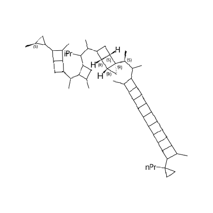 CCCC1(C2C(C)C3C4C5C6C7C(C8C9C%10C(C)C(C(C)[C@H](C)[C@@]%11%12C[C@@H]%11[C@@H]%11C(C(C)C(C(C)C)C%13CC(C)C%13C(C)C%13CC%14C%13C(C)C%14C%13C[C@@H]%13C)C[C@@H]%11%12)C%10C9C87)C6C5C4C32)CC1